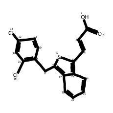 O=C(O)/C=C/c1sc(Cc2ccc(Cl)cc2Cl)c2ccccc12